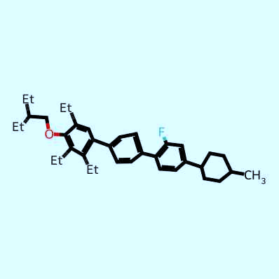 CCc1cc(-c2ccc(-c3ccc(C4CCC(C)CC4)cc3F)cc2)c(CC)c(CC)c1OCC(CC)CC